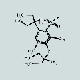 CCC(C)(CC)Oc1c(C)cc(C(C)(CC)CC)c(S(=O)(=O)O)c1C